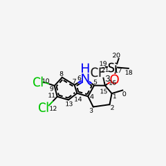 CC1CCc2c([nH]c3cc(Cl)c(Cl)cc23)C1(O[Si](C)(C)C)C(F)(F)F